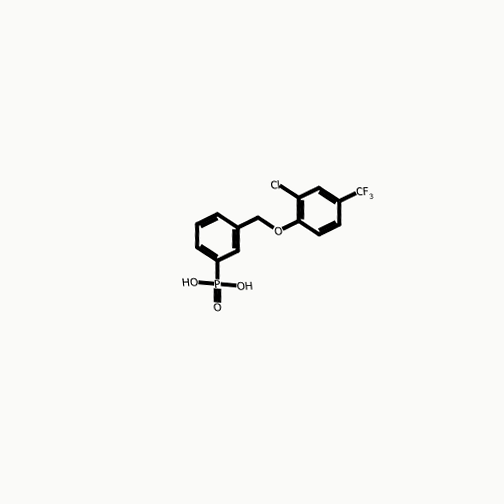 O=P(O)(O)c1cccc(COc2ccc(C(F)(F)F)cc2Cl)c1